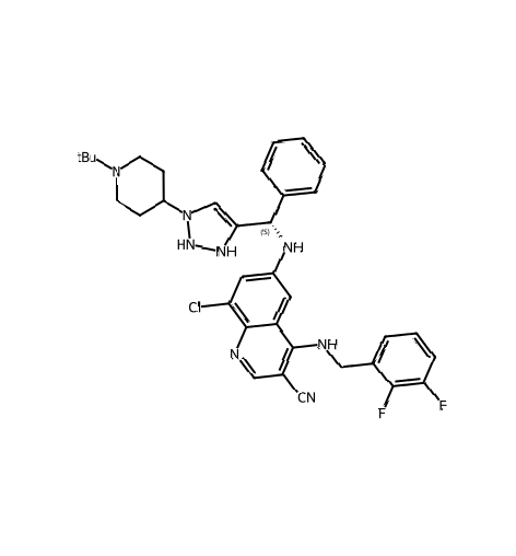 CC(C)(C)N1CCC(N2C=C([C@@H](Nc3cc(Cl)c4ncc(C#N)c(NCc5cccc(F)c5F)c4c3)c3ccccc3)NN2)CC1